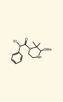 CCN(C(=O)N1CCNC(OC)C1(C)C)c1ccccc1